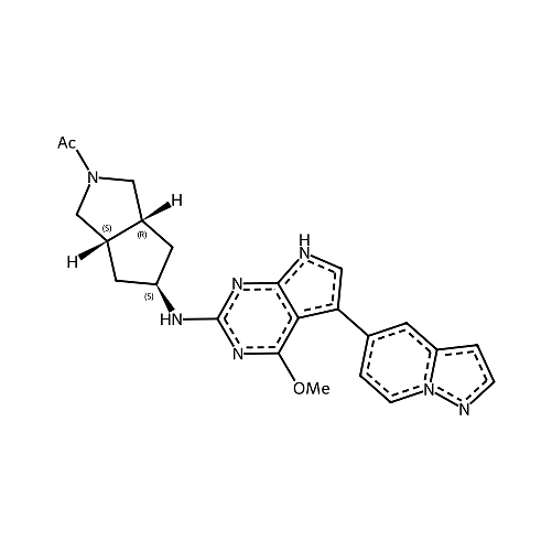 COc1nc(N[C@H]2C[C@@H]3CN(C(C)=O)C[C@@H]3C2)nc2[nH]cc(-c3ccn4nccc4c3)c12